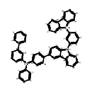 c1ccc(-c2cccc(N(c3ccccc3)c3ccc(-c4ccc5c(c4)c4ccccc4n5-c4cccc(-n5c6ccccc6c6ccccc65)c4)cc3)c2)cc1